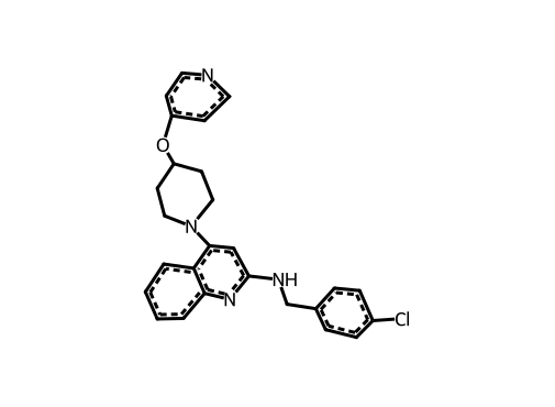 Clc1ccc(CNc2cc(N3CCC(Oc4ccncc4)CC3)c3ccccc3n2)cc1